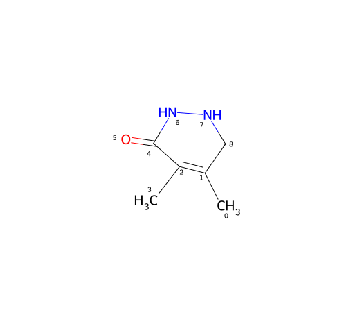 CC1=C(C)C(=O)NNC1